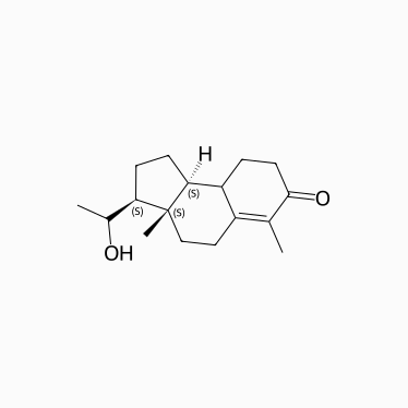 CC1=C2CC[C@]3(C)[C@@H](C(C)O)CC[C@H]3C2CCC1=O